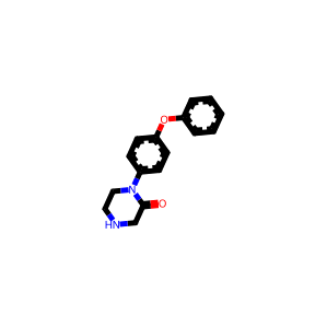 O=C1CNCCN1c1ccc(Oc2ccccc2)cc1